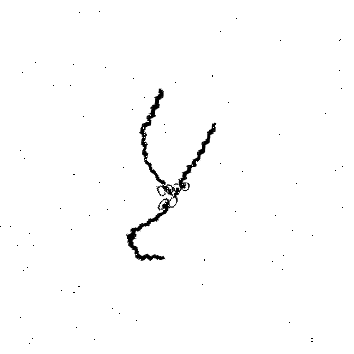 CCCCC/C=C\C/C=C\CCCCCCCCCC(=O)O[C@@H](COC(=O)CCCCCCCCCCC/C=C\CCCCCCCC)COC(=O)CCCCCCCCCCCCCCC